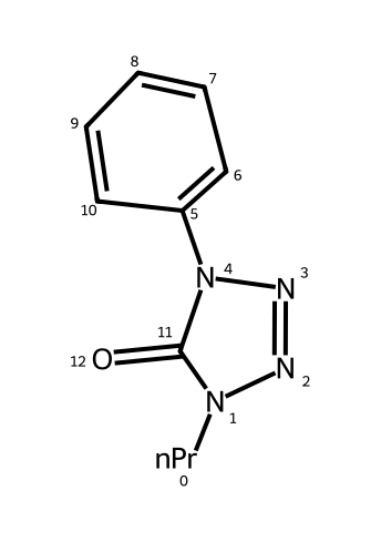 CCCn1nnn(-c2ccccc2)c1=O